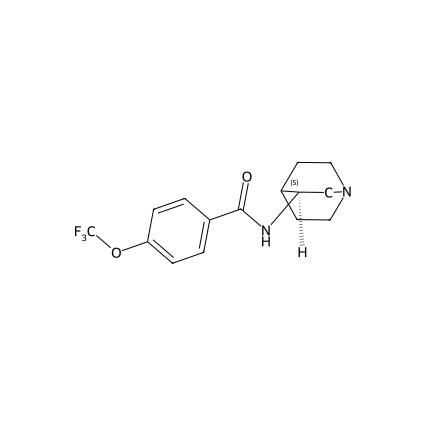 O=C(N[C@@H]1CN2CCC1CC2)c1ccc(OC(F)(F)F)cc1